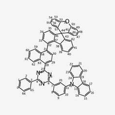 c1ccc(-c2nc(-c3cccc(-n4c5ccccc5c5ccccc54)c3)nc(-c3ccc(-c4cccc5c4-c4ccccc4C54c5ccccc5Oc5ccccc54)c4ccccc34)n2)cc1